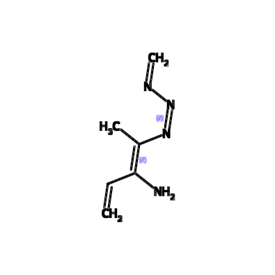 C=C/C(N)=C(C)/N=N\N=C